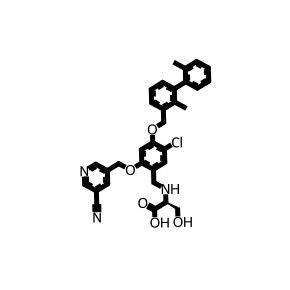 Cc1ccccc1-c1cccc(COc2cc(OCc3cncc(C#N)c3)c(CN[C@@H](CO)C(=O)O)cc2Cl)c1C